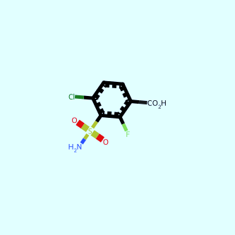 NS(=O)(=O)c1c(Cl)ccc(C(=O)O)c1F